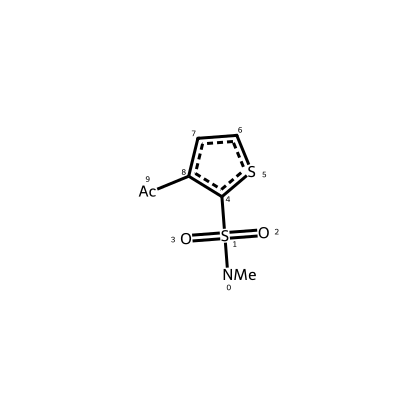 CNS(=O)(=O)c1sccc1C(C)=O